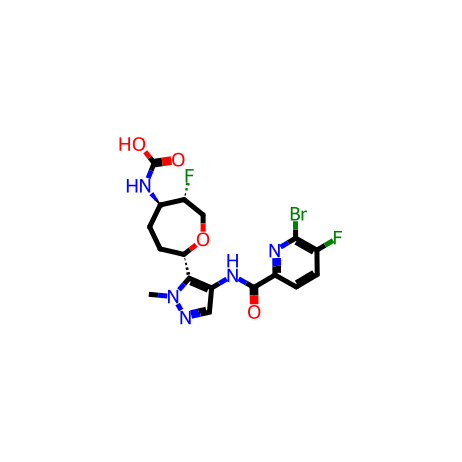 Cn1ncc(NC(=O)c2ccc(F)c(Br)n2)c1[C@@H]1CC[C@@H](NC(=O)O)[C@H](F)CO1